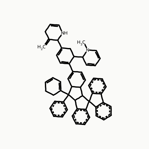 C=C1CC=CNC1C1=CC=C(C2=CC3C(C=C2)C2C(c4ccccc4C24c2ccccc2-c2ccccc24)C3(C2=CC=CCC2)c2ccccc2)C(C2C=CC=CN2C)C1